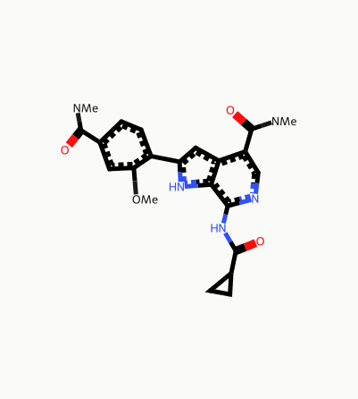 CNC(=O)c1ccc(-c2cc3c(C(=O)NC)cnc(NC(=O)C4CC4)c3[nH]2)c(OC)c1